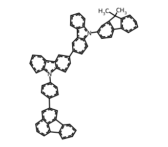 CC1(C)c2ccccc2-c2ccc(-n3c4ccccc4c4cc(-c5ccc6c(c5)c5ccccc5n6-c5ccc(-c6cc7c8c(cccc8c6)-c6ccccc6-7)cc5)ccc43)cc21